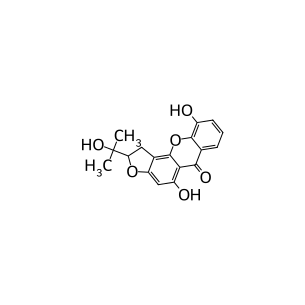 CC(C)(O)C1Cc2c(cc(O)c3c(=O)c4cccc(O)c4oc23)O1